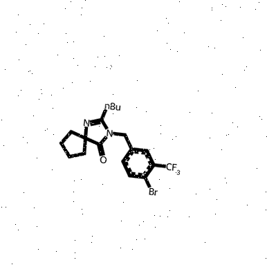 CCCCC1=NC2(CCCC2)C(=O)N1Cc1ccc(Br)c(C(F)(F)F)c1